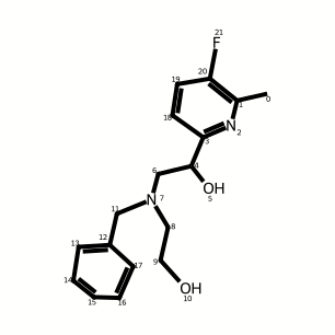 Cc1nc(C(O)CN(CCO)Cc2ccccc2)ccc1F